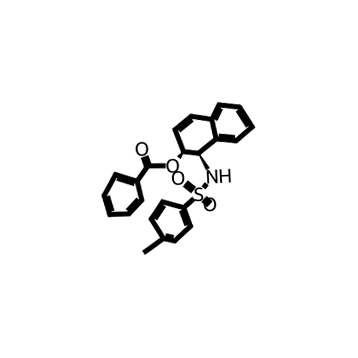 Cc1ccc(S(=O)(=O)N[C@@H]2c3ccccc3C=C[C@@H]2OC(=O)c2ccccc2)cc1